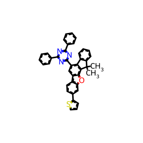 CC1(C)c2ccccc2-c2c(-c3nc(-c4ccccc4)nc(-c4ccccc4)n3)cc3c(oc4cc(-c5cccs5)ccc43)c21